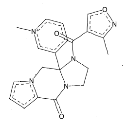 Cc1nocc1C(=O)N1CCN2C(=O)c3cccn3CC12c1ccc[n+](C)c1